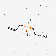 C=CC[PH](CCCC)(CCCC)CCCCCCCCCC